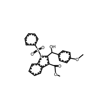 COC(=O)c1c(C(O)c2ccc(OC)cc2)n(S(=O)(=O)c2ccccc2)c2ccccc12